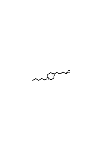 CCCCCN1CCN(CCCC=O)CC1